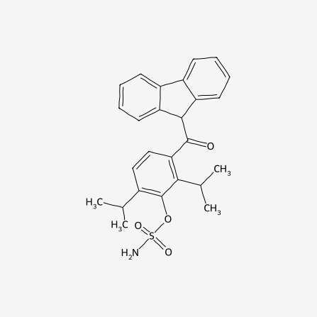 CC(C)c1ccc(C(=O)C2c3ccccc3-c3ccccc32)c(C(C)C)c1OS(N)(=O)=O